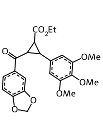 CCOC(=O)C1C(C(=O)c2ccc3c(c2)OCO3)C1c1cc(OC)c(OC)c(OC)c1